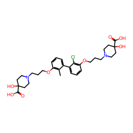 Cc1c(OCCCN2CCC(O)(C(=O)O)CC2)cccc1-c1cccc(OCCCN2CCC(O)(C(=O)O)CC2)c1Cl